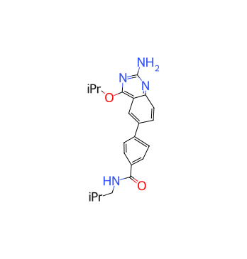 CC(C)CNC(=O)c1ccc(-c2ccc3nc(N)nc(OC(C)C)c3c2)cc1